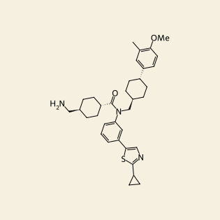 COc1ccc([C@H]2CC[C@H](CN(c3cccc(-c4cnc(C5CC5)s4)c3)C(=O)[C@H]3CC[C@H](CN)CC3)CC2)cc1C